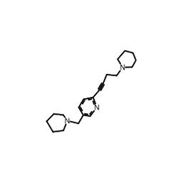 C(#Cc1ccc(CN2CCCCC2)cn1)CCN1CCCCC1